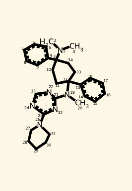 CN(C)C1(c2ccccc2)CCC(c2ccccc2)(N(C)c2ncnc(N3CCCCC3)n2)CC1